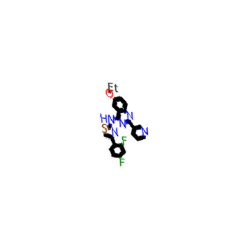 CCOc1ccc2nc(-c3cccnc3)nc(Nc3nc(-c4ccc(F)cc4F)cs3)c2c1